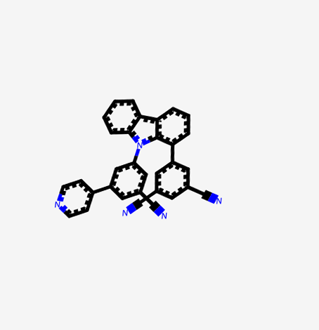 N#Cc1cc(C#N)cc(-c2cccc3c4ccccc4n(-c4cc(C#N)cc(-c5ccncc5)c4)c23)c1